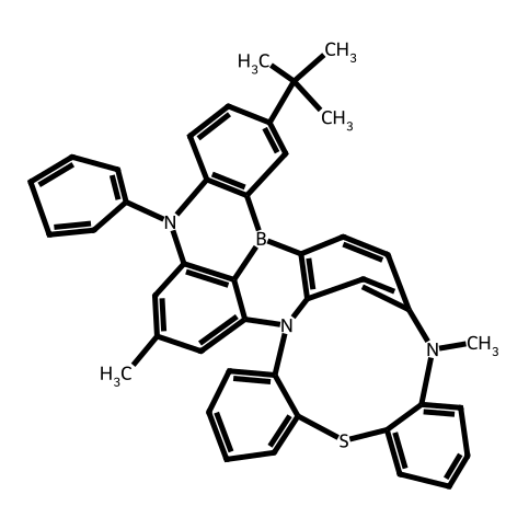 Cc1cc2c3c(c1)N1c4ccccc4Sc4ccccc4N(C)c4ccc(c1c4)B3c1cc(C(C)(C)C)ccc1N2c1ccccc1